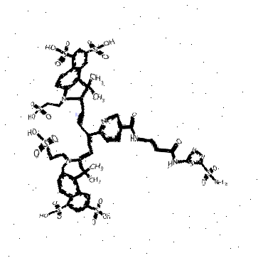 CC1(C)C(=CC=C(/C=C/C2N(CCS(=O)(=O)O)c3ccc4c(S(=O)(=O)O)cc(S(=O)(=O)O)cc4c3C2(C)C)c2ccc(C(=O)NCCC(=O)Nc3nnc(S(N)(=O)=O)s3)cn2)N(CCS(=O)(=O)O)c2ccc3c(S(=O)(=O)O)cc(S(=O)(=O)O)cc3c21